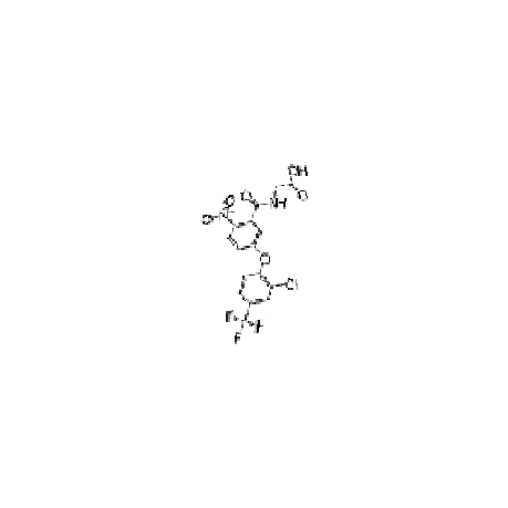 O=C(O)CNC(=O)c1cc(Oc2ccc(C(F)(F)F)cc2Cl)ccc1[N+](=O)[O-]